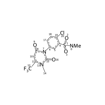 CNS(=O)(=O)c1cc(-n2c(=O)cc(C(F)(F)F)n(C)c2=O)ccc1Cl